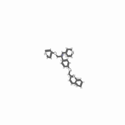 C(=C(\COc1ccncc1)c1ccc(OCc2ccc3ccccc3n2)cc1)/c1ccncc1